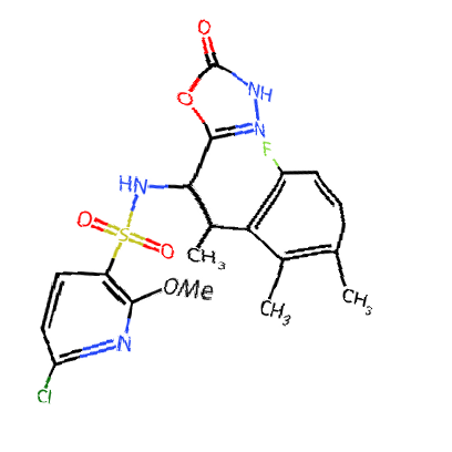 COc1nc(Cl)ccc1S(=O)(=O)NC(c1n[nH]c(=O)o1)C(C)c1c(F)ccc(C)c1C